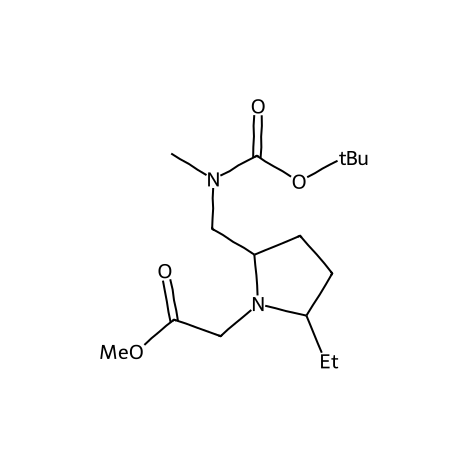 CCC1CCC(CN(C)C(=O)OC(C)(C)C)N1CC(=O)OC